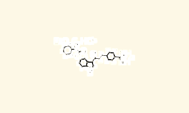 CCOC(=O)CN(C(=O)Oc1ccc2c(c1)c(C(=O)CCc1ccc(C(=N)N)cc1)cn2C)C1CCCCC1.Cl